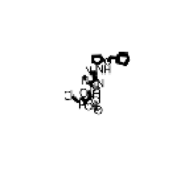 O=S1O[C@@H]2[C@H](O1)[C@@H](CCl)O[C@H]2n1cnc2c(NC3CCCC3OCc3ccccc3)ncnc21